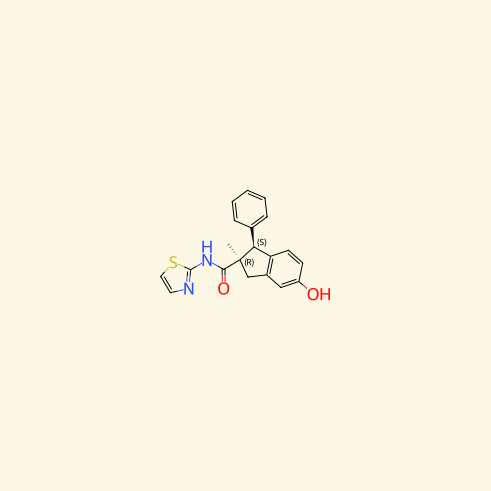 C[C@@]1(C(=O)Nc2nccs2)Cc2cc(O)ccc2[C@@H]1c1ccccc1